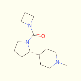 CN1CCC([C@@H]2CCCN2C(=O)N2CCC2)CC1